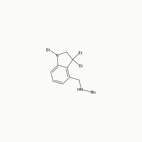 CCC(C)NCc1cccc2c1C(CC)(CC)CN2CC